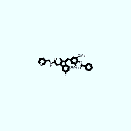 COc1cc(/C=C2/C(C)=C(CC(=O)NCc3cccnc3)c3cc(F)ccc32)cc(OC)c1OC(=O)c1ccccc1